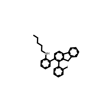 CCCCCNc1ccccc1-c1ccc2c(c1-c1ccccc1I)Cc1ccccc1-2